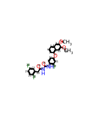 COc1cc2cccc(Oc3ccc(NC(=O)NC(=O)Cc4cc(F)ccc4F)c(F)c3)c2cc1OC